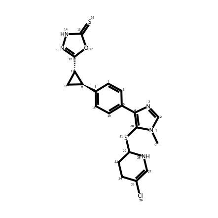 Cn1cnc(-c2ccc([C@H]3C[C@@H]3c3n[nH]c(=S)o3)cc2)c1SC1CCC(Cl)=CN1